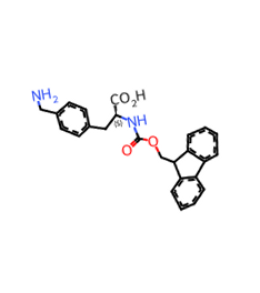 NCc1ccc(C[C@H](NC(=O)OCC2c3ccccc3-c3ccccc32)C(=O)O)cc1